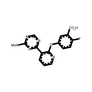 CNc1ncnc(-c2cccnc2Oc2ccc(F)c(C(=O)O)c2)n1